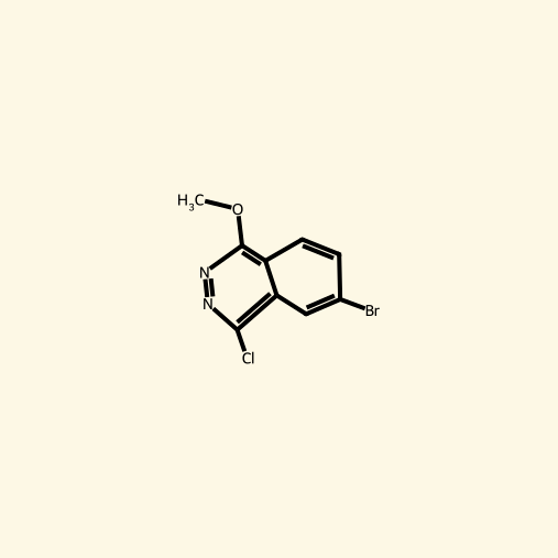 COc1nnc(Cl)c2cc(Br)ccc12